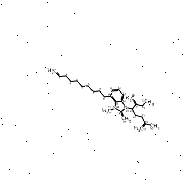 C=CCCCCCCCCc1cccc2c1N(C)C(=C)N2C(CCC(=C)C)C(=C)CC